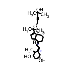 C=C1/C(=C\C=C2/CCC[C@]3(C)C(C(C)(C)OCC#CC(C)(C)O)=CC[C@@H]23)C[C@@H](O)C[C@@H]1O